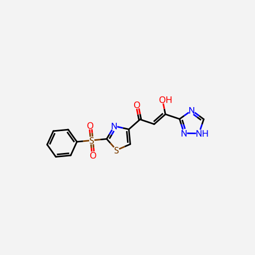 O=C(C=C(O)c1nc[nH]n1)c1csc(S(=O)(=O)c2ccccc2)n1